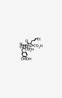 CC/C=C/CC(C(=O)NNC(C)(Cc1ccc(O)c(O)c1)C(=O)O)C(C)C(=O)O